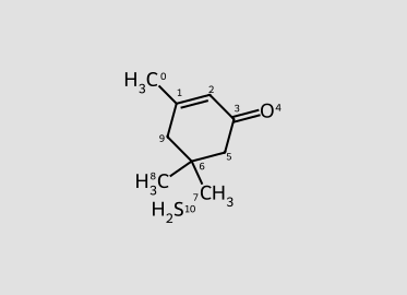 CC1=CC(=O)CC(C)(C)C1.S